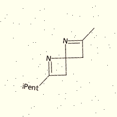 CCCC(C)C1=NC2(CC(C)=N2)C1